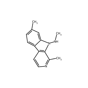 CNn1c2cc(C)ccc2c2ccnc(C)c21